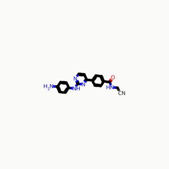 N#CCNC(=O)c1ccc(-c2ccnc(Nc3ccc(N)cc3)n2)cc1